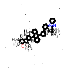 Bc1c(B)c(O)c2c(c1B)-c1c(B)c(B)c(-c3c4ccccc4c(-c4cccc(-c5cccc(-n6c(C(B)(B)C(B)(B)B)nc7ccccc76)c5)c4)c4ccccc34)c(B)c1C2(C)C